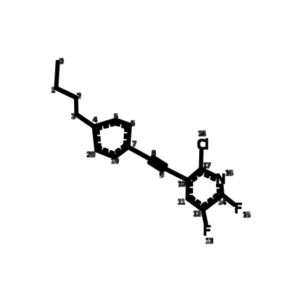 CCCCc1ccc(C#Cc2cc(F)c(F)nc2Cl)cc1